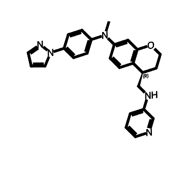 CN(c1ccc(-n2cccn2)cc1)c1ccc2c(c1)OCC[C@H]2CNc1cccnc1